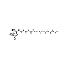 CCCCCCCCCCCCCCCCCC(O)O[PH](=O)O